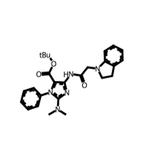 CN(C)c1nc(NC(=O)CN2CCc3ccccc32)c(C(=O)OC(C)(C)C)n1-c1ccccc1